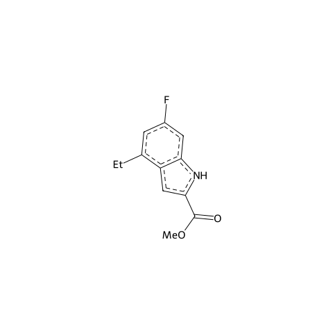 CCc1cc(F)cc2[nH]c(C(=O)OC)cc12